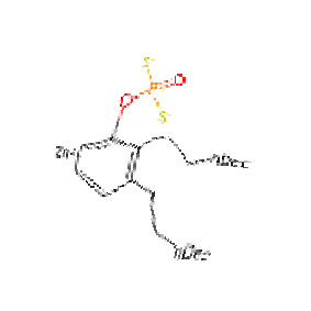 CCCCCCCCCCCCc1cccc(OP(=O)([S-])[S-])c1CCCCCCCCCCCC.[Zn+2]